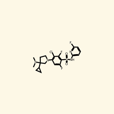 CN(C)C1(C2CC2)CCN(c2cc(F)c(S(=O)(=O)Nc3cccc(F)n3)c(F)c2Cl)C1